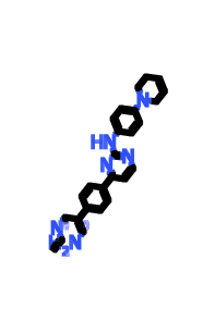 C=C/N=C\C(=C/N)c1ccc(-c2ccnc(Nc3ccc(N4CC=CCC4)cc3)n2)cc1